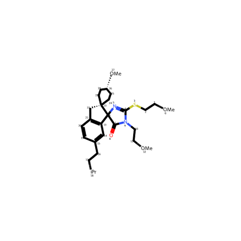 COCCSC1=NC2(C(=O)N1CCOC)c1cc(CCC(C)C)ccc1C[C@]21CC[C@@H](OC)CC1